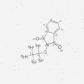 [2H]C([2H])([2H])C([2H])([2H])ON1C(=O)c2ccccc2C1=O